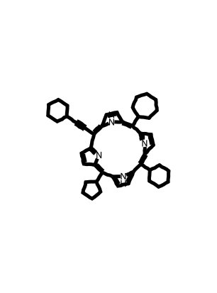 C(#CC1CCCCC1)c1c2nc(c(C3CCCC3)c3ccc([nH]3)c(C3CCCCC3)c3nc(c(C4CCCCCC4)c4ccc1[nH]4)C=C3)C=C2